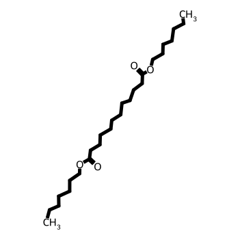 CCCCCCCOC(=O)CCCCCCCCCCC(=O)OCCCCCCC